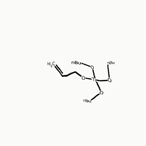 C=CC[O][Ti]([O]CCCC)([O]CCCC)[O]CCCC